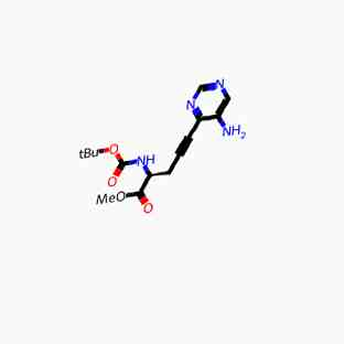 COC(=O)[C@H](CC#Cc1ncncc1N)NC(=O)OC(C)(C)C